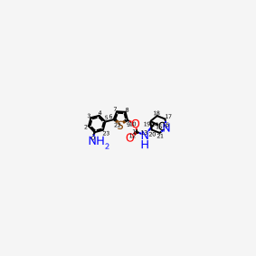 Nc1cccc(-c2ccc(OC(=O)NC3CN4CCC3CC4)s2)c1